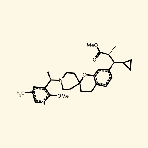 COC(=O)[C@H](C)[C@H](c1ccc2c(c1)OC1(CC2)CCN([C@H](C)c2cc(C(F)(F)F)cnc2OC)CC1)C1CC1